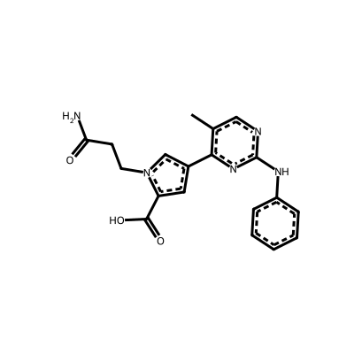 Cc1cnc(Nc2ccccc2)nc1-c1cc(C(=O)O)n(CCC(N)=O)c1